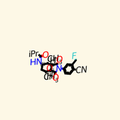 CC(C)C(=O)N[C@@H]1CC2(C)OC1(C)[C@@H]1C(=O)N(c3ccc(C#N)c(CF)c3)C(=O)[C@@H]12